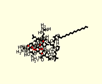 CCCCCCCCCCCCCCCC(=O)N[C@H](C(=O)C[C@@H](CCCNC(=N)N)C(=O)N1CCC[C@H]1C(=O)C[C@H](C(=O)N[C@@H](C)C(=O)C[C@@H](CC(N)=O)C(=O)N[C@@H](C)C(=O)C[C@@H](CCCNC(=N)N)C(=O)N[C@@H](CC(C)C)C(=O)C[C@@H](CCCNC(=N)N)C(=O)N[C@@H](CC(C)C)C(=O)C[C@@H](CCCNC(=N)N)C(=O)N[C@H](C(=O)C[C@@H](CO)C(N)=O)C(C)C)C(C)C)C(C)C